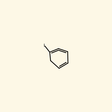 IC1=C=CC=CC1